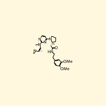 C=N/C=C\N(C)c1nccc(N2CCC[C@@H]2CC(=O)NCCc2ccc(OC)c(OC)c2)n1